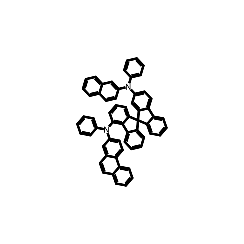 c1ccc(N(c2ccc3c(c2)C2(c4ccccc4-3)c3ccccc3-c3c(N(c4ccccc4)c4ccc5c(ccc6ccccc65)c4)cccc32)c2ccc3ccccc3c2)cc1